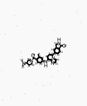 Cc1cc(Nc2ccc(-c3ccc4c(c3)CNC4=O)n3ccnc23)ccc1C(=O)N1CCC(N(C)C)C1